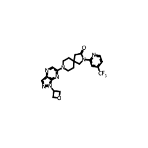 O=C1CC2(CCN(c3cnc4cnn(C5COC5)c4n3)CC2)CN1c1cc(C(F)(F)F)ccn1